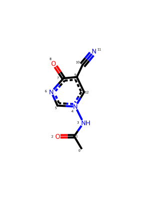 CC(=O)Nn1cnc(=O)c(C#N)c1